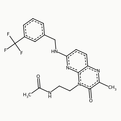 CC(=O)NCCn1c(=O)c(C)nc2ccc(NCc3cccc(C(F)(F)F)c3)nc21